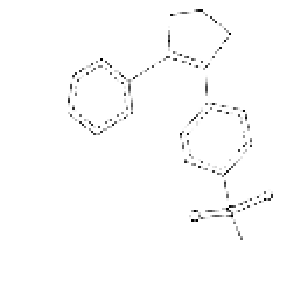 CS(=O)(=O)c1ccc(C2=C(c3ccccc3)CCC2)cc1